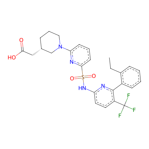 CCc1ccccc1-c1nc(NS(=O)(=O)c2cccc(N3CCC[C@@H](CC(=O)O)C3)n2)ccc1C(F)(F)F